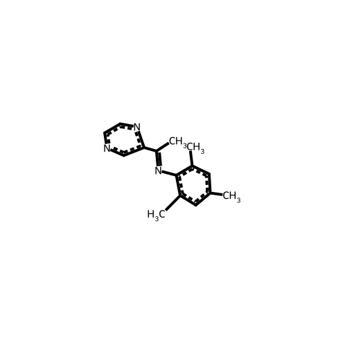 CC(=Nc1c(C)cc(C)cc1C)c1cnccn1